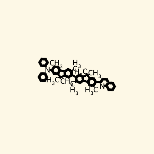 Cc1cc2c(cc1-c1ccc3ccccc3n1)C(C)(C)c1cc(-c3cc4c(cc3C)-c3cc(C)c(N(c5ccccc5)c5ccccc5)cc3C4(C)C)c(C)cc1-2